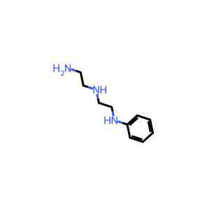 NCCNCCNc1ccccc1